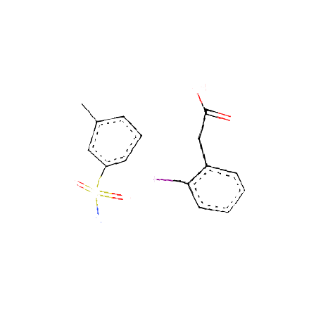 Cc1cccc(S(N)(=O)=O)c1.O=C(O)Cc1ccccc1I